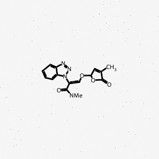 CNC(=O)/C(=C/OC1C=C(C)C(=O)O1)n1nnc2ccccc21